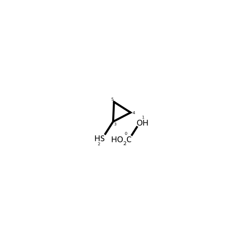 O=C(O)O.SC1CC1